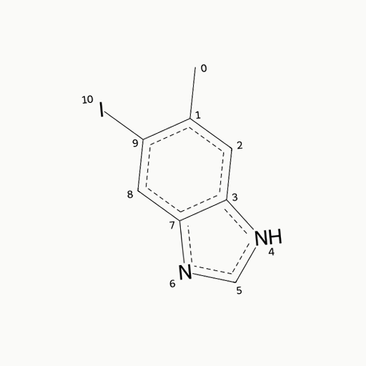 Cc1cc2[nH]cnc2cc1I